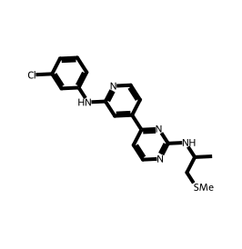 CSCC(C)Nc1nccc(-c2ccnc(Nc3cccc(Cl)c3)c2)n1